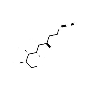 CC(=O)OC[C@@H](OC(C)=O)[C@@H](OC(C)=O)[C@H](OC(C)=O)[C@H](OC(C)=O)C(=O)CCN=[N+]=[N-]